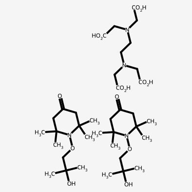 CC(C)(O)CON1C(C)(C)CC(=O)CC1(C)C.CC(C)(O)CON1C(C)(C)CC(=O)CC1(C)C.O=C(O)CN(CCN(CC(=O)O)CC(=O)O)CC(=O)O